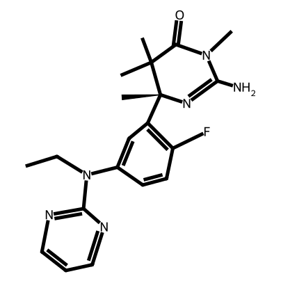 CCN(c1ccc(F)c([C@@]2(C)N=C(N)N(C)C(=O)C2(C)C)c1)c1ncccn1